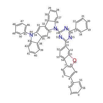 c1ccc(-c2ccc3c(c2)oc2cc(-c4nc(-c5ccccc5)nc(-n5c6ccccc6c6cc7c(cc65)c5ccccc5n7-c5ccccc5)n4)ccc23)cc1